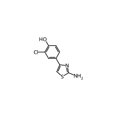 Nc1nc(-c2ccc(O)c(Cl)c2)cs1